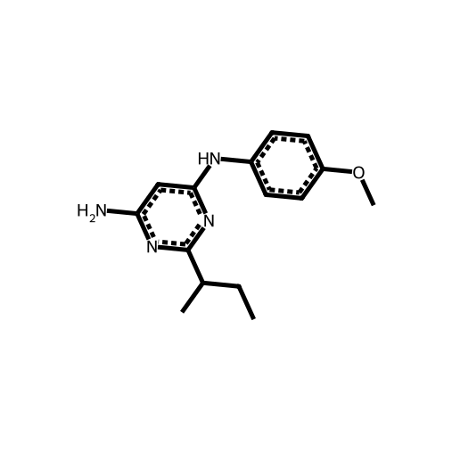 CCC(C)c1nc(N)cc(Nc2ccc(OC)cc2)n1